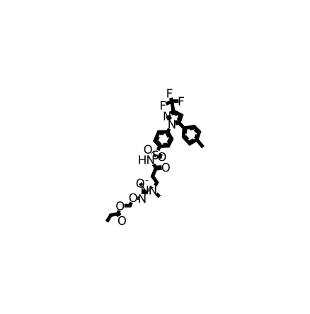 CCC(=O)OCON=[N+]([O-])N(C)CCC(=O)NS(=O)(=O)c1ccc(-n2nc(C(F)(F)F)cc2-c2ccc(C)cc2)cc1